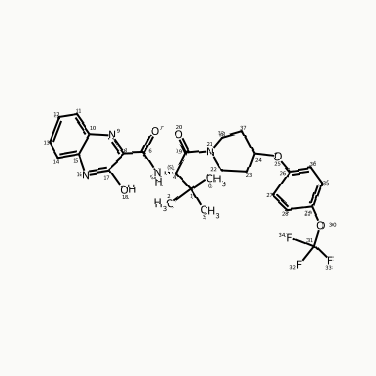 CC(C)(C)[C@H](NC(=O)c1nc2ccccc2nc1O)C(=O)N1CCC(Oc2ccc(OC(F)(F)F)cc2)CC1